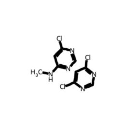 CNc1cc(Cl)ncn1.Clc1cc(Cl)ncn1